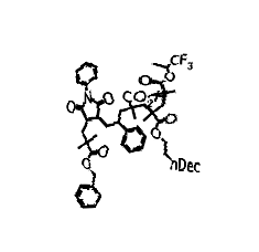 CCCCCCCCCCCCOC(=O)C(C)(CC(C)(C)C(=O)OC(C)C(F)(F)F)CC(C)(CC(CC1C(=O)N(c2ccccc2)C(=O)C1CC(C)(C)C(=O)OCc1ccccc1)c1ccccc1)C(=O)O